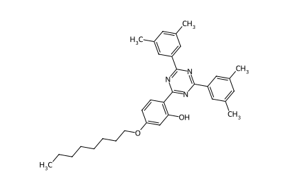 CCCCCCCCOc1ccc(-c2nc(-c3cc(C)cc(C)c3)nc(-c3cc(C)cc(C)c3)n2)c(O)c1